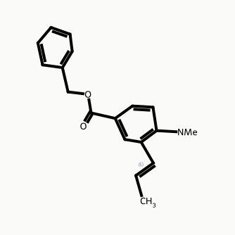 C/C=C/c1cc(C(=O)OCc2ccccc2)ccc1NC